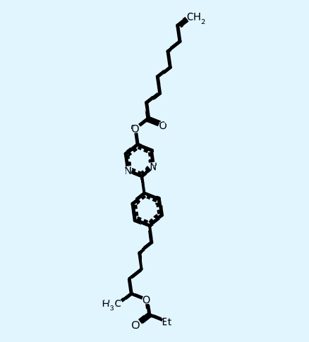 C=CCCCCCCC(=O)Oc1cnc(-c2ccc(CCCCC(C)OC(=O)CC)cc2)nc1